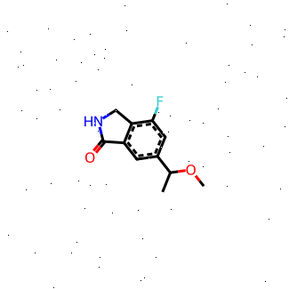 COC(C)c1cc(F)c2c(c1)C(=O)NC2